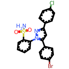 NS(=O)(=O)c1ccccc1-n1nc(-c2ccc(Cl)cc2)cc1-c1ccc(Br)cc1